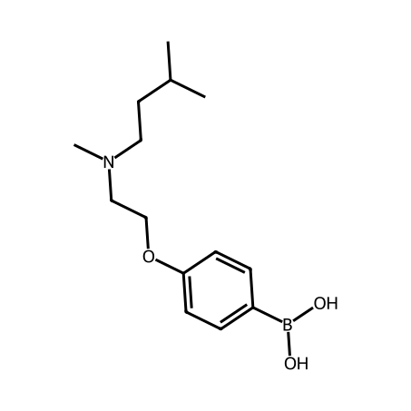 CC(C)CCN(C)CCOc1ccc(B(O)O)cc1